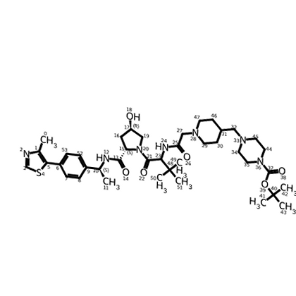 Cc1ncsc1-c1ccc([C@H](C)NC(=O)[C@@H]2C[C@@H](O)CN2C(=O)C(NC(=O)CN2CCC(CN3CCN(C(=O)OC(C)(C)C)CC3)CC2)C(C)(C)C)cc1